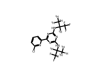 [2H]C([2H])([2H])C([2H])(Nc1nc(NC([2H])(C([2H])([2H])[2H])C(F)(F)F)nc(-c2cccc(Cl)n2)n1)C(F)(F)F